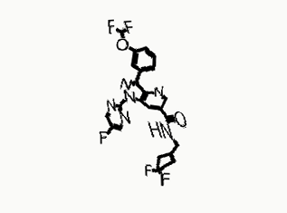 O=C(NCC1CC(F)(F)C1)c1cnc2c(-c3cccc(OC(F)F)c3)nn(-c3ncc(F)cn3)c2c1